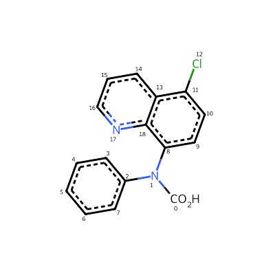 O=C(O)N(c1ccccc1)c1ccc(Cl)c2cccnc12